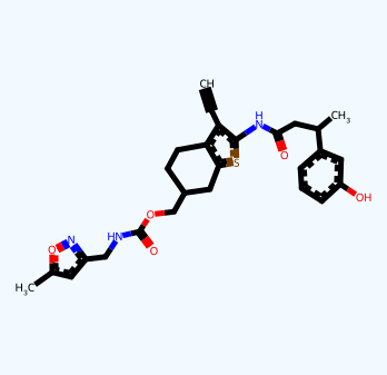 C#Cc1c(NC(=O)CC(C)c2cccc(O)c2)sc2c1CCC(COC(=O)NCc1cc(C)on1)C2